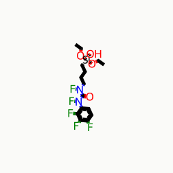 CCO[Si](O)(CCCCN(F)C(=O)N(F)c1ccc(F)c(F)c1F)OCC